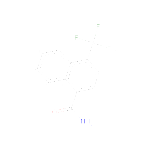 NC(=O)c1ccc(C(F)(F)F)c2ccccc12